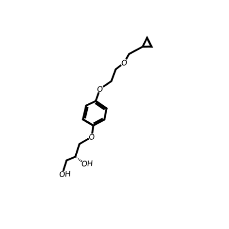 OC[C@@H](O)COc1ccc(OCCOCC2CC2)cc1